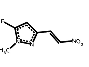 Cn1nc(/C=C/[N+](=O)[O-])cc1F